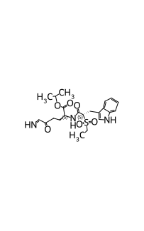 CCS(=O)(=O)[C@@H](Cc1c[nH]c2ccccc12)C(=O)N[C@@H](CCC(=O)C=N)C(=O)OC(C)C